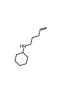 C=CCCCNC1CCCCC1